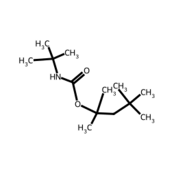 CC(C)(C)CC(C)(C)OC(=O)NC(C)(C)C